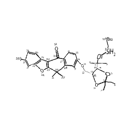 CC1(C)O[C@@H](C(C)(C)O[SiH2]C(C)(C)C)[C@@H](COc2ccc3c(c2)C(C)(C)c2oc4cc(I)ccc4c2C3=O)O1